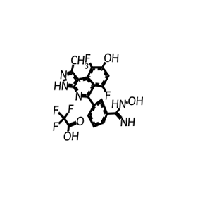 Cc1n[nH]c2nc(-c3cccc(C(=N)NO)c3)c3c(F)cc(O)c(F)c3c12.O=C(O)C(F)(F)F